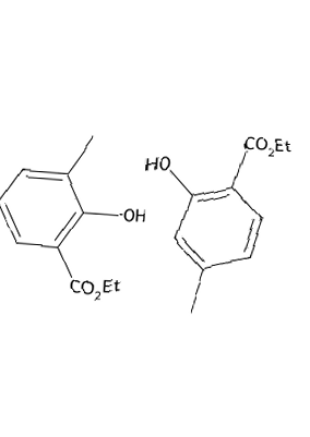 CCOC(=O)c1ccc(C)cc1O.CCOC(=O)c1cccc(C)c1O